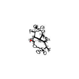 O=S1(=O)OC(F)[C@@]2(C(F)C1F)[C@H](F)OS(=O)(=O)C(F)[C@@H]2F